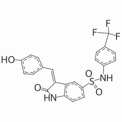 O=C1Nc2ccc(S(=O)(=O)Nc3ccc(C(F)(F)F)cc3)cc2C1=Cc1ccc(O)cc1